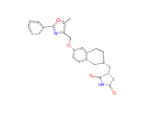 Cc1oc(-c2ccccc2)nc1COc1ccc2c(c1)CCC(CC1SC(=O)NC1=O)C2